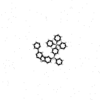 c1ccc(-c2ccc3sc4ccc(N(c5ccccc5)c5ccc([Si](c6ccccc6)(c6ccccc6)c6ccccc6)cc5)cc4c3c2)cc1